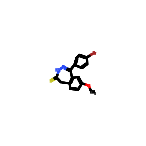 COc1ccc2c(c1)C(c1ccc(Br)cc1)=NNC(=S)C2